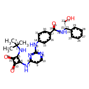 CC(C)(C)Nc1c(Nc2ccnc(Nc3ccc(C(=O)N[C@H](CO)c4ccccc4)cc3)n2)c(=O)c1=O